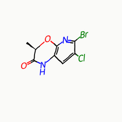 C[C@H]1Oc2nc(Br)c(Cl)cc2NC1=O